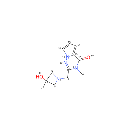 Cn1c(CN2CC(C)(O)C2)nn2cccc2c1=O